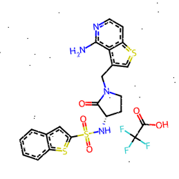 Nc1nccc2scc(CN3CC[C@H](NS(=O)(=O)c4cc5ccccc5s4)C3=O)c12.O=C(O)C(F)(F)F